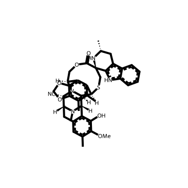 COc1c(C)cc2c(c1O)[C@H]1[C@@H]3[C@@H]4SC[C@]5(N[C@H](C)Cc6c5[nH]c5ccccc65)C(=O)OC[C@@H](c5c6c(c(C)c(C)c54)OCO6)N3[C@@H](C#N)[C@@H](C2)N1C